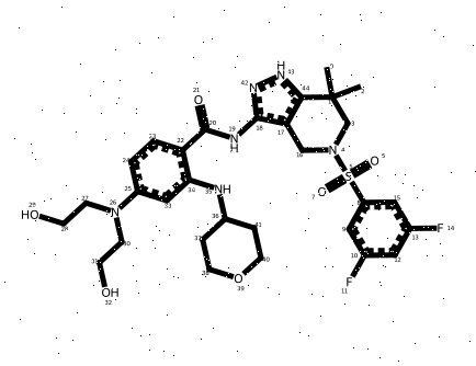 CC1(C)CN(S(=O)(=O)c2cc(F)cc(F)c2)Cc2c(NC(=O)c3ccc(N(CCO)CCO)cc3NC3CCOCC3)n[nH]c21